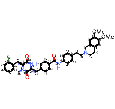 COc1cc2c(cc1OC)CN(CCc1ccc(NC(=O)c3ccc(/C=c4\[nH]c(=O)/c(=C/c5ccccc5Cl)n(C)c4=O)cc3)cc1)CC2